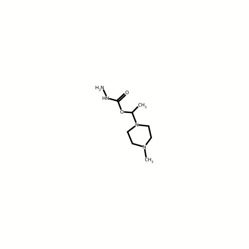 CC(OC(=O)NN)N1CCN(C)CC1